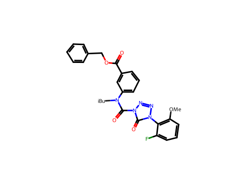 CCC(C)N(C(=O)n1nnn(-c2c(F)cccc2OC)c1=O)c1cccc(C(=O)OCc2ccccc2)c1